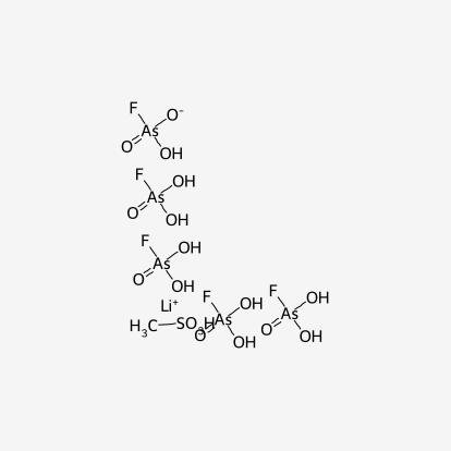 CS(=O)(=O)O.O=[As](O)(O)F.O=[As](O)(O)F.O=[As](O)(O)F.O=[As](O)(O)F.O=[As]([O-])(O)F.[Li+]